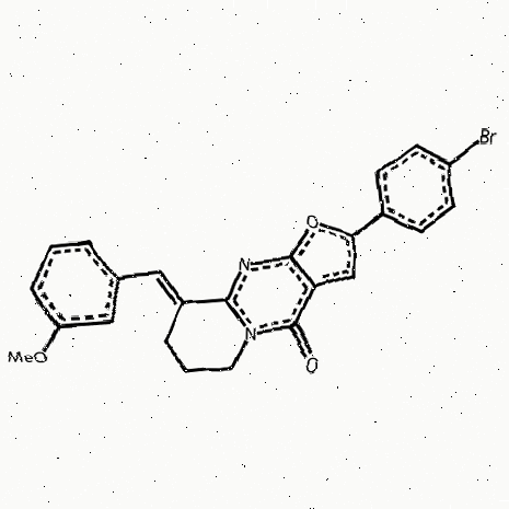 COc1cccc(/C=C2\CCCn3c2nc2oc(-c4ccc(Br)cc4)cc2c3=O)c1